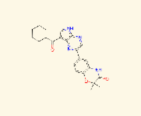 CC1CCCCC1C(=O)c1c[nH]c2ncc(-c3ccc4c(c3)NC(=O)C(C)(C)O4)nc12